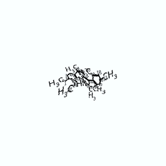 CCC1CCC2=C(N3NC(C)C(c4c(C)cc(C)cc4C)=C3N=C2C)N1CC